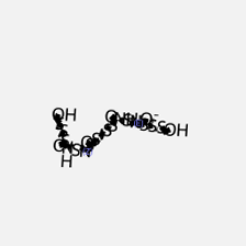 O=C(NCSC/N=C/[S+]([O-])CSCSCO)SCSCCSC[S+]([O-])/C=N\CSCNC(=O)SCSCSCO